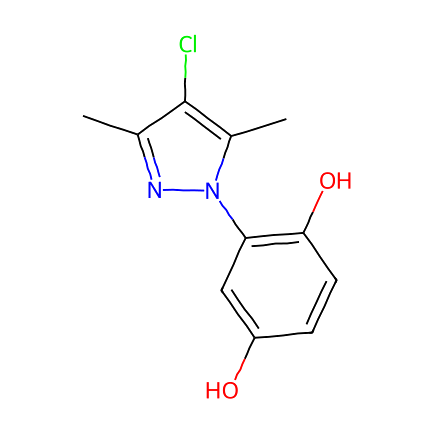 Cc1nn(-c2cc(O)ccc2O)c(C)c1Cl